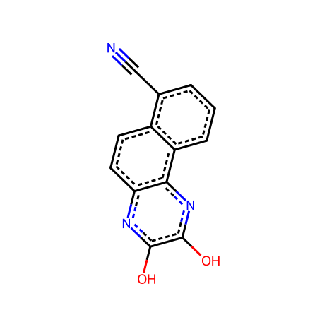 N#Cc1cccc2c1ccc1nc(O)c(O)nc12